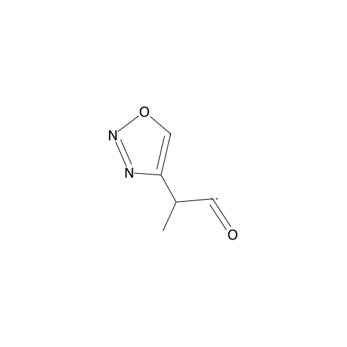 CC([C]=O)c1conn1